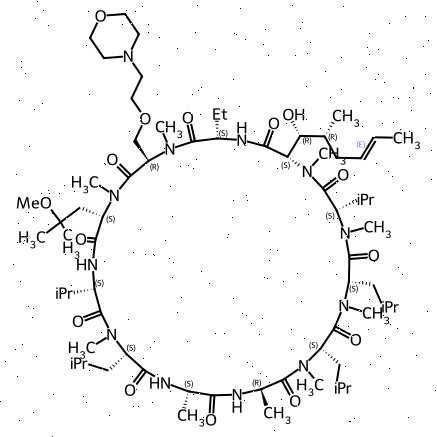 C/C=C/C[C@@H](C)[C@@H](O)[C@H]1C(=O)N[C@@H](CC)C(=O)N(C)[C@H](COCCN2CCOCC2)C(=O)N(C)[C@@H](CC(C)(C)OC)C(=O)N[C@@H](C(C)C)C(=O)N(C)[C@@H](CC(C)C)C(=O)N[C@@H](C)C(=O)N[C@H](C)C(=O)N(C)[C@@H](CC(C)C)C(=O)N(C)[C@@H](CC(C)C)C(=O)N(C)[C@@H](C(C)C)C(=O)N1C